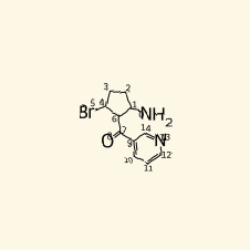 NC1CCC(Br)C1C(=O)c1cccnc1